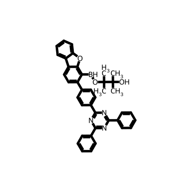 CC(C)(O)C(C)(C)OBc1c(-c2ccc(-c3nc(-c4ccccc4)nc(-c4ccccc4)n3)cc2)ccc2c1oc1ccccc12